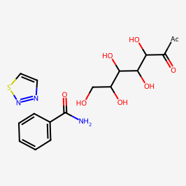 CC(=O)C(=O)C(O)C(O)C(O)C(O)CO.NC(=O)c1ccccc1.c1csnn1